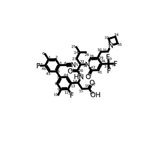 Cc1cc(C#N)c(-c2cc(C)c(F)c(C(CC(=O)O)NC(=O)C(CC(C)C)n3cc(CCN4CCC4)c(C(F)(F)F)cc3=O)c2)cc1F